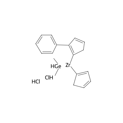 Cl.Cl.[CH3][GeH]([CH3])[Zr]([C]1=CC=CC1)[C]1=C(c2ccccc2)C=CC1